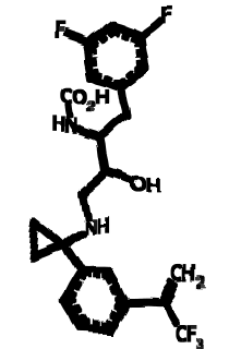 C=C(c1cccc(C2(NCC(O)C(Cc3cc(F)cc(F)c3)NC(=O)O)CC2)c1)C(F)(F)F